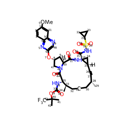 COc1ccc2nc(O[C@@H]3C[C@H]4C(=O)N[C@]5(C(=O)NS(=O)(=O)C6CC6)C[C@H]5/C=C\[C@H](C)CCC[C@@H](C)[C@H](NC(=O)OC(C)(C)C(F)(F)F)C(=O)N4C3)cnc2c1